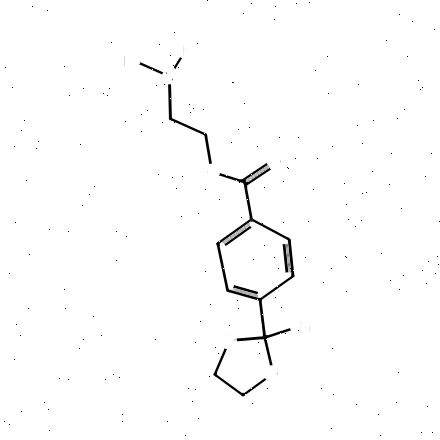 CCN(CC)CCOC(=O)c1ccc(C2(C(C)(C)C)OCCO2)cc1